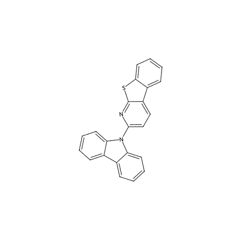 c1ccc2c(c1)sc1nc(-n3c4ccccc4c4ccccc43)ccc12